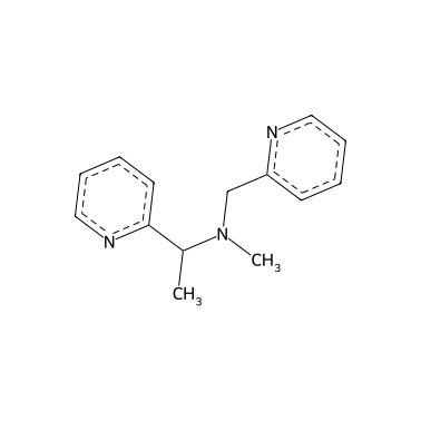 CC(c1ccccn1)N(C)Cc1ccccn1